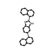 c1ccc2c(-c3ccc4nc(-c5cccc6ccccc56)[nH]c4c3)cccc2c1